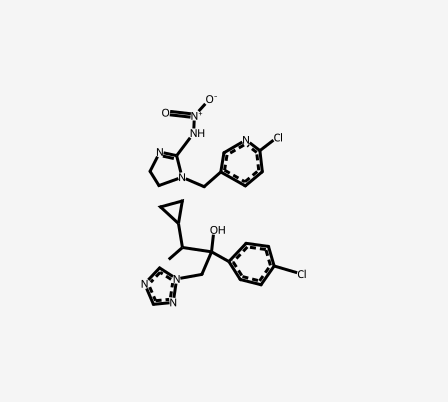 CC(C1CC1)C(O)(Cn1cncn1)c1ccc(Cl)cc1.O=[N+]([O-])NC1=NCCN1Cc1ccc(Cl)nc1